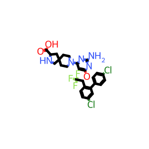 Nc1nc(O[C@H](c2ccc(Cl)cc2-c2ccc(Cl)cc2)C(F)(F)F)cc(N2CCC3(CC2)CNC(C(=O)O)C3)n1